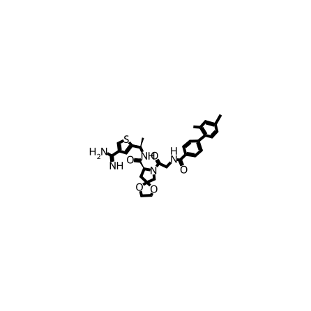 Cc1ccc(-c2ccc(C(=O)NCC(=O)N3CC4(C[C@H]3C(=O)N[C@H](C)c3cc(C(=N)N)cs3)OCCO4)cc2)c(C)c1